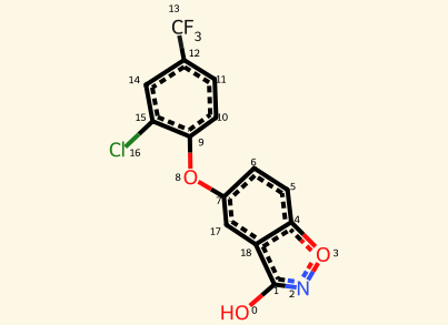 Oc1noc2ccc(Oc3ccc(C(F)(F)F)cc3Cl)cc12